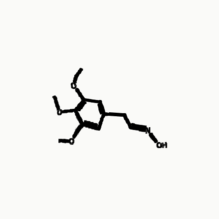 COc1cc(CC=NO)cc(OC)c1OC